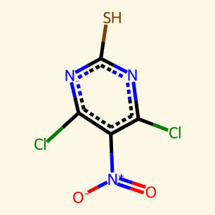 O=[N+]([O-])c1c(Cl)nc(S)nc1Cl